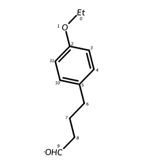 CCOc1ccc(CCC[C]=O)cc1